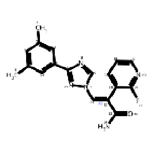 Cc1cc(C)cc(-c2ncn(/C=C(/C(N)=O)c3cccnc3F)n2)c1